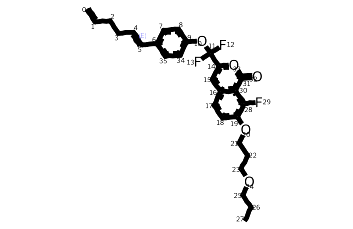 C=CCC/C=C/c1ccc(OC(F)(F)c2cc3ccc(OCCCOCCC)c(F)c3c(=O)o2)cc1